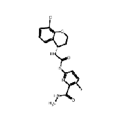 CNC(=O)c1nc(NC(=O)N[C@H]2CCOc3c(Cl)cccc32)ccc1F